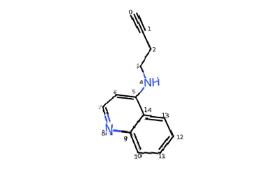 C#CCCNc1ccnc2ccccc12